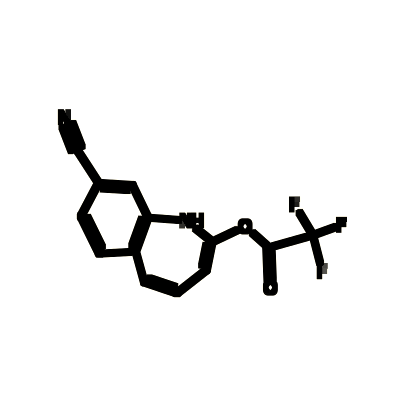 N#Cc1ccc2c(c1)NC(OC(=O)C(F)(F)F)=CC=C2